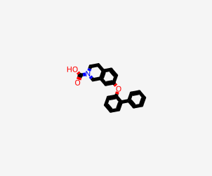 O=C(O)N1CCc2ccc(Oc3ccccc3-c3ccccc3)cc2C1